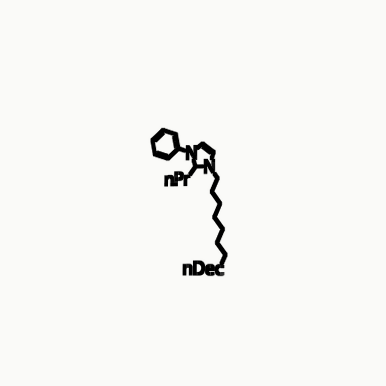 CCCCCCCCCCCCCCCCCN1C=CN(c2ccccc2)C1CCC